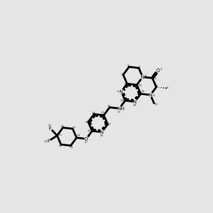 C[C@H]1C(=O)N2CCCc3nc(NCc4ccc(OC5CCC(F)(F)CC5)nc4)nc(c32)N1C